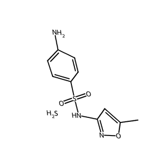 Cc1cc(NS(=O)(=O)c2ccc(N)cc2)no1.S